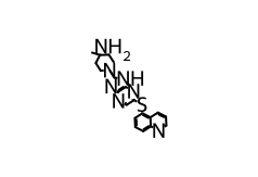 CC1(N)CCN(c2nc3ncc(Sc4cccc5ncccc45)nc3[nH]2)CC1